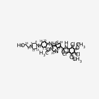 COc1cc(N2CCN(CCO)CC2)ccc1Nc1ncnc2c(C(=O)Nc3c(Cl)c(OC)c(Cl)c(OC)c3Cl)csc12